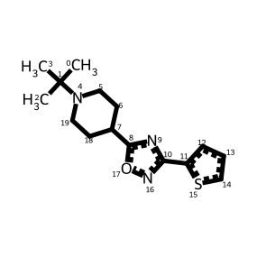 CC(C)(C)N1CCC(c2nc(-c3cccs3)no2)CC1